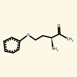 CC(=O)[C@@H](N)CCOc1ccccc1